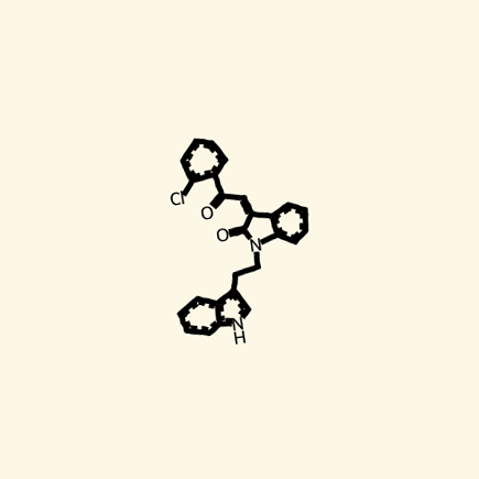 O=C(C=C1C(=O)N(CCc2c[nH]c3ccccc23)c2ccccc21)c1ccccc1Cl